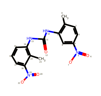 Cc1ccc([N+](=O)[O-])cc1NC(=O)Nc1cccc([N+](=O)[O-])c1C